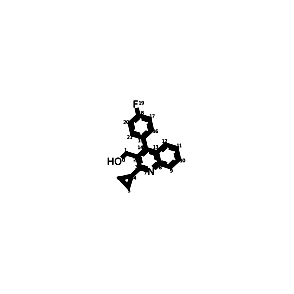 OCc1c(C2CC2)nc2ccccc2c1-c1ccc(F)cc1